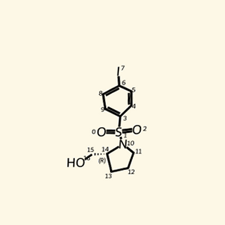 O=S(=O)(c1ccc(I)cc1)N1CCC[C@@H]1CO